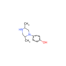 CC1CN(c2ccc(O)cc2)C(C)CN1